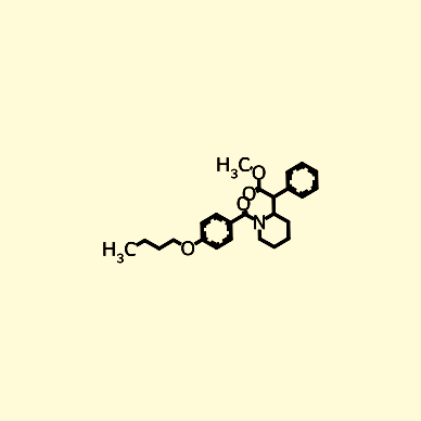 CCCCOc1ccc(C(=O)N2CCCCC2C(C(=O)OC)c2ccccc2)cc1